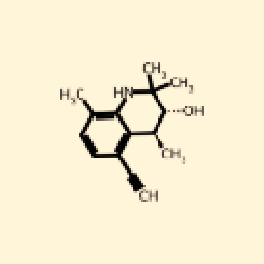 C#Cc1ccc(C)c2c1[C@H](C)[C@@H](O)C(C)(C)N2